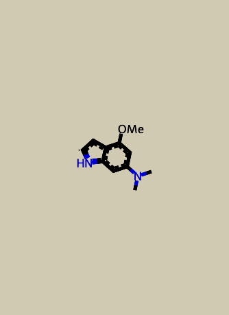 COc1cc(N(C)C)cc2[nH][c]cc12